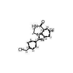 O=C1NCCn2c(-c3ccc(CCl)cc3)nc3cc(F)cc1c32